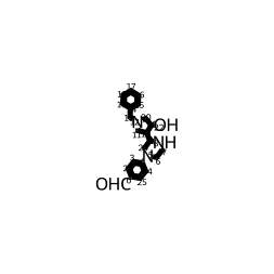 O=Cc1ccc(N2CCNC(C3CN(Cc4ccccc4)CC3O)C2)cc1